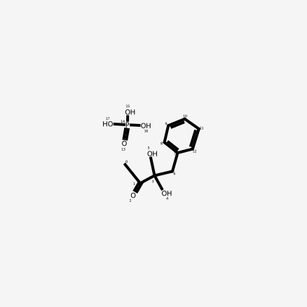 CC(=O)C(O)(O)Cc1ccccc1.O=P(O)(O)O